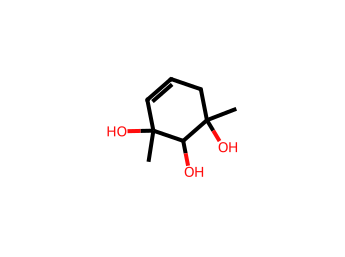 CC1(O)C=CCC(C)(O)C1O